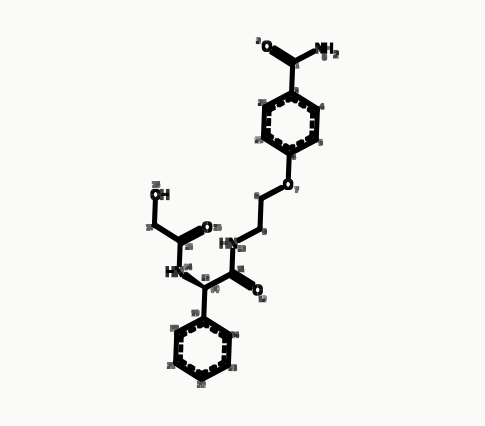 NC(=O)c1ccc(OCCNC(=O)[C@H](NC(=O)CO)c2ccccc2)cc1